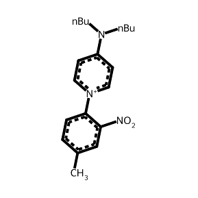 CCCCN(CCCC)c1cc[n+](-c2ccc(C)cc2[N+](=O)[O-])cc1